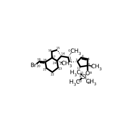 C[C@H](C[C@@H]1C=C[C@](C)(O[Si](C)(C)C)C1)[C@H]1CCC2C(=CBr)CCC[C@@]21C